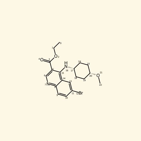 CCOC(=O)c1cnc2ccc(Br)cc2c1N[C@H]1CC[C@@H](OC)CC1